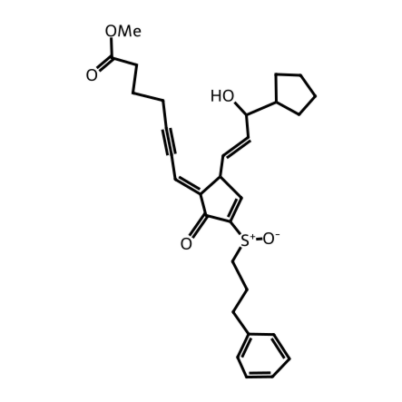 COC(=O)CCCC#CC=C1C(=O)C([S+]([O-])CCCc2ccccc2)=CC1C=CC(O)C1CCCC1